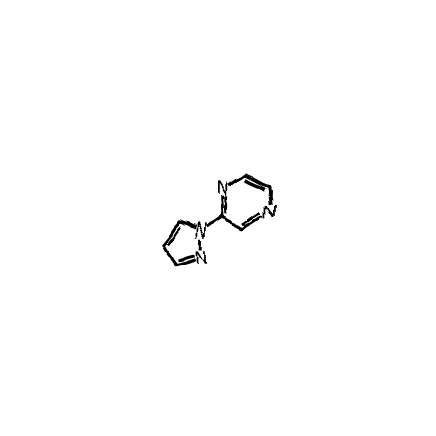 c1cnn(-c2cnccn2)c1